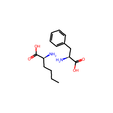 CCCC[C@H](N)C(=O)O.N[C@@H](Cc1ccccc1)C(=O)O